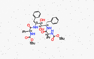 CC(C)[C@H](NC(=O)OC(C)(C)C)C(=O)N[C@@H](Cc1ccccc1)[C@H](O)[C@@H](O)[C@H](Cc1ccccc1)NC(=O)[C@@H](NC(=O)OC(C)(C)C)C(C)C